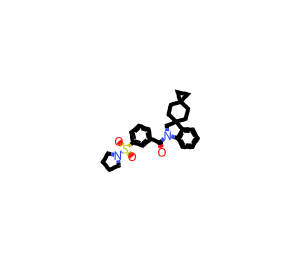 O=C(c1cccc(S(=O)(=O)N2CCCC2)c1)N1CC2(CCC3(CC3)CC2)c2ccccc21